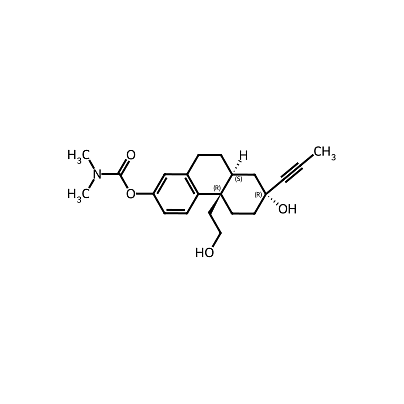 CC#C[C@@]1(O)CC[C@]2(CCO)c3ccc(OC(=O)N(C)C)cc3CC[C@H]2C1